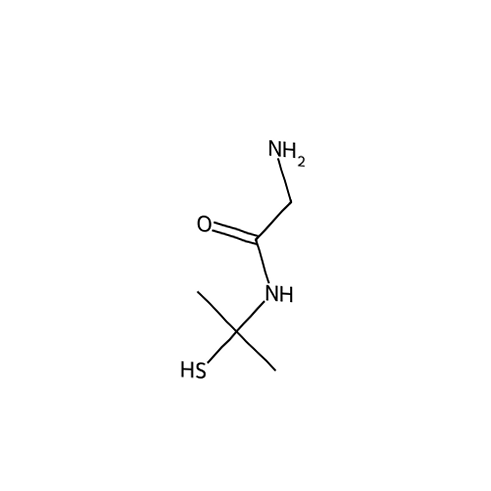 CC(C)(S)NC(=O)CN